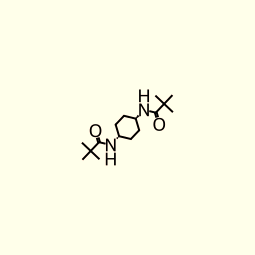 CC(C)(C)C(=O)N[C@H]1CC[C@H](NC(=O)C(C)(C)C)CC1